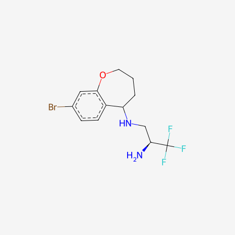 N[C@@H](CNC1CCCOc2cc(Br)ccc21)C(F)(F)F